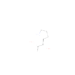 CC(=O)C(O)C(O)C1CCCN1